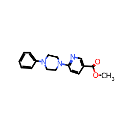 COC(=O)c1ccc(N2CCN(c3ccccc3)CC2)nc1